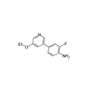 CCOc1cncc(-c2ccc(N)c(F)c2)c1